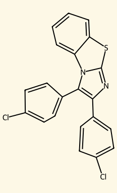 Clc1ccc(-c2nc3sc4ccccc4n3c2-c2ccc(Cl)cc2)cc1